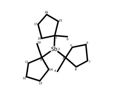 C[C]1([Sb]([C]2(C)CCCC2)[C]2(C)CCCC2)CCCC1